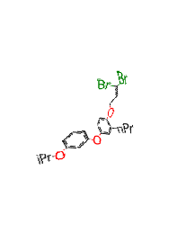 CCCc1cc(Oc2cccc(OC(C)C)c2)ccc1OCC=C(Br)Br